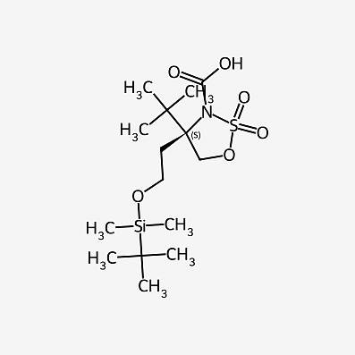 CC(C)(C)[C@@]1(CCO[Si](C)(C)C(C)(C)C)COS(=O)(=O)N1C(=O)O